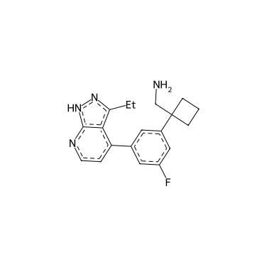 CCc1n[nH]c2nccc(-c3cc(F)cc(C4(CN)CCC4)c3)c12